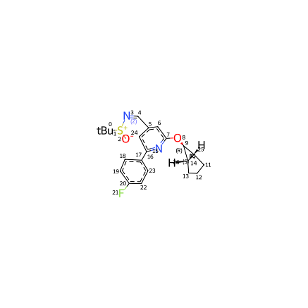 CC(C)(C)[S+]([O-])/N=C\c1cc(O[C@H]2[C@@H]3CCC[C@@H]32)nc(-c2ccc(F)cc2)c1